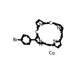 Brc1ccc(-c2cc3cc4nc(cc5ccc(cc6nc(cc2[nH]3)C=C6)[nH]5)C=C4)cc1.[Co]